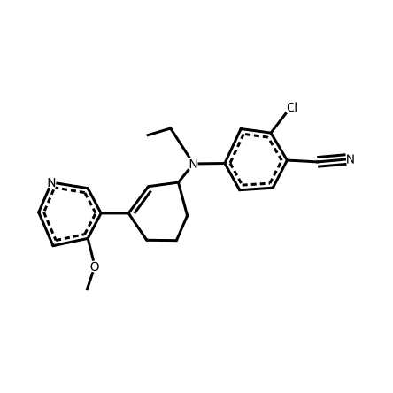 CCN(c1ccc(C#N)c(Cl)c1)C1C=C(c2cnccc2OC)CCC1